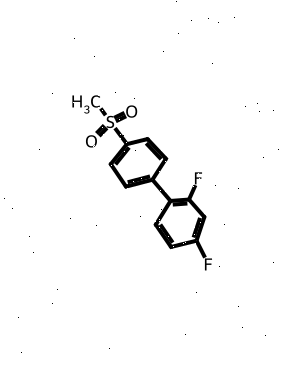 CS(=O)(=O)c1ccc(-c2ccc(F)cc2F)cc1